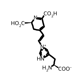 N[C@@H](Cc1c[n+](/C=C/C2=CC(C(=O)O)=N[C@H](C(=O)O)C2)c[nH]1)C(=O)[O-]